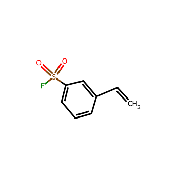 C=Cc1cccc(S(=O)(=O)F)c1